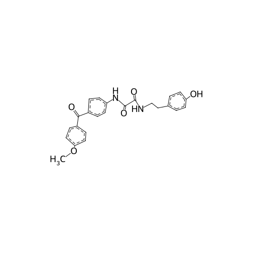 COc1ccc(C(=O)c2ccc(NC(=O)C(=O)NCCc3ccc(O)cc3)cc2)cc1